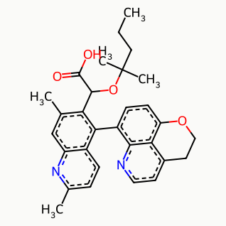 CCCC(C)(C)OC(C(=O)O)c1c(C)cc2nc(C)ccc2c1-c1ccc2c3c(ccnc13)CCO2